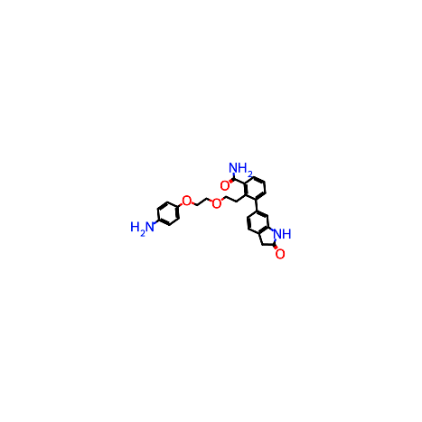 NC(=O)c1cccc(-c2ccc3c(c2)NC(=O)C3)c1CCOCCOc1ccc(N)cc1